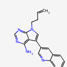 C=CCCn1cc(-c2cnc3ccccc3c2)c2c(N)ncnc21